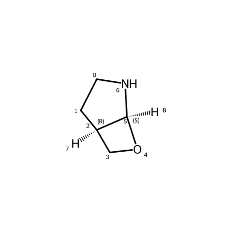 C1C[C@@H]2CO[C@@H]2N1